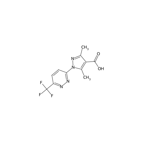 Cc1nn(-c2ccc(C(F)(F)F)nn2)c(C)c1C(=O)O